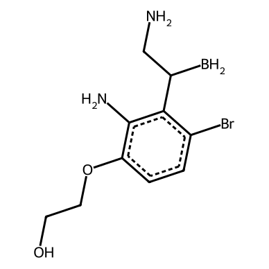 BC(CN)c1c(Br)ccc(OCCO)c1N